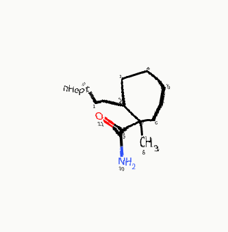 CCCCCCCCC1CCCCC1(C)C(N)=O